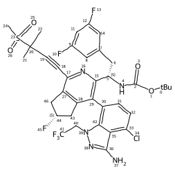 CC(C)(C)OC(=O)N[C@@H](Cc1cc(F)cc(F)c1)c1nc(C#CC(C)(C)S(C)(=O)=O)c2c(c1-c1ccc(Cl)c3c(N)nn(CC(F)(F)F)c13)C[C@H](F)C2